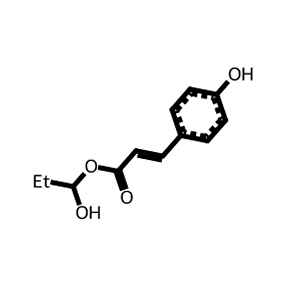 CCC(O)OC(=O)/C=C/c1ccc(O)cc1